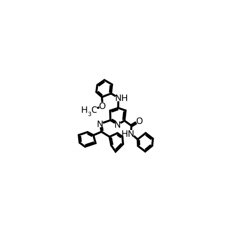 COc1ccccc1Nc1cc(N=C(c2ccccc2)c2ccccc2)nc(C(=O)Nc2ccccc2)c1